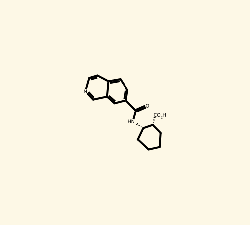 O=C(N[C@H]1CCCC[C@H]1C(=O)O)c1ccc2ccncc2c1